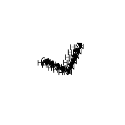 [Co].c1c[nH]cn1.c1c[nH]cn1.c1c[nH]cn1.c1c[nH]cn1.c1c[nH]cn1.c1c[nH]cn1.c1c[nH]cn1.c1c[nH]cn1.c1c[nH]cn1.c1c[nH]cn1